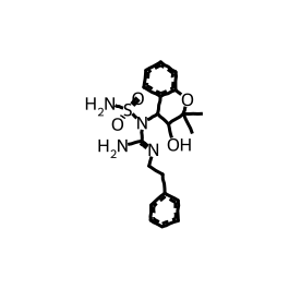 CC1(C)Oc2ccccc2C(N(C(N)=NCCc2ccccc2)S(N)(=O)=O)C1O